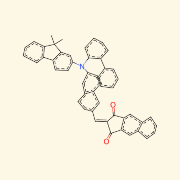 CC1(C)c2ccccc2-c2ccc(N(c3ccc4cc(C=C5C(=O)c6cc7ccccc7cc6C5=O)ccc4c3)c3ccccc3-c3ccccc3)cc21